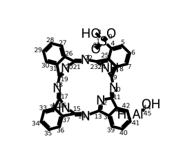 O=S(=O)(O)c1cccc2c3nc4nc(nc5[nH]c(nc6nc(nc([nH]3)c12)-c1ccccc1-6)c1ccccc51)-c1ccccc1-4.[OH][AlH2]